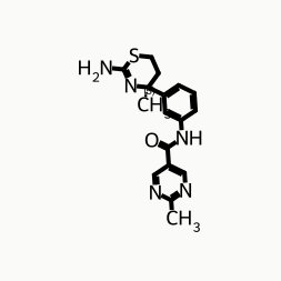 Cc1ncc(C(=O)Nc2cccc([C@]3(C)CCSC(N)=N3)c2)cn1